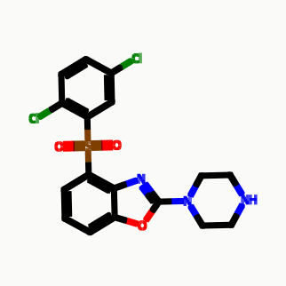 O=S(=O)(c1cc(Cl)ccc1Cl)c1cccc2oc(N3CCNCC3)nc12